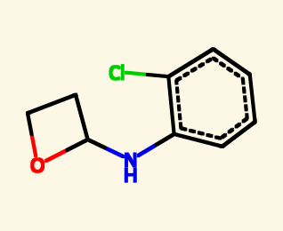 Clc1ccccc1NC1CCO1